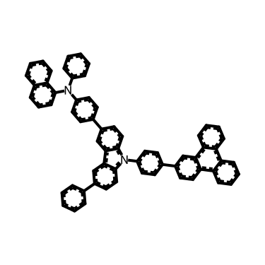 c1ccc(-c2ccc3c(c2)c2cc(-c4ccc(N(c5ccccc5)c5cccc6ccccc56)cc4)ccc2n3-c2ccc(-c3ccc4c5ccccc5c5ccccc5c4c3)cc2)cc1